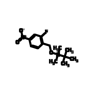 CC(C)(C)[Si](C)(C)OCc1ccc([N+](=O)[O-])cc1F